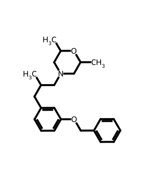 CC(Cc1cccc(OCc2ccccc2)c1)CN1CC(C)OC(C)C1